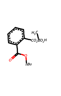 CC(=O)O.CCCCOC(=O)c1ccccc1C(=O)O